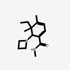 CCC1(C)C(C)=CC=C(C(=O)NC)C1N1CCC1